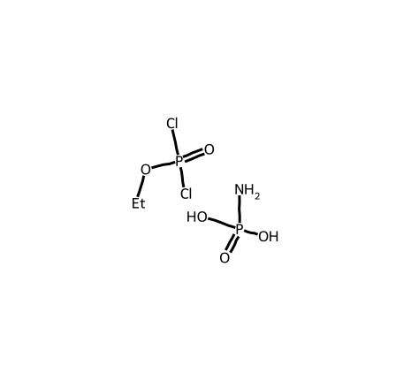 CCOP(=O)(Cl)Cl.NP(=O)(O)O